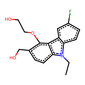 CCn1c2ccc(F)cc2c2c(OCCO)c(CO)ccc21